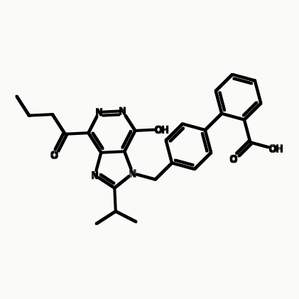 CCCC(=O)c1nnc(O)c2c1nc(C(C)C)n2Cc1ccc(-c2ccccc2C(=O)O)cc1